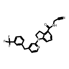 N#CCNC(=O)c1cccc2c1CCN2c1cc(Cc2cccc(C(F)(F)F)c2)ccn1